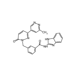 Cc1cc(-c2ccc(=O)n(Cc3cccc(C(=O)Nc4nc5ccccc5[nH]4)c3)n2)cnn1